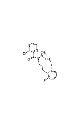 CN(C)N(CCCc1c(F)cccc1F)C(=O)c1nccnc1Cl